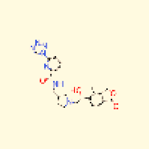 Cc1c([C@@H](O)CN2CCC(CNC(=O)c3cccc(-n4cnnn4)n3)C2)ccc2c1COC2=O